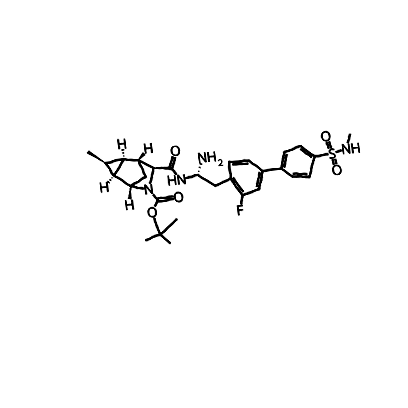 CNS(=O)(=O)c1ccc(-c2ccc(C[C@@H](N)NC(=O)[C@@H]3[C@@H]4C[C@@H]([C@H]5[C@@H](C)[C@@H]45)N3C(=O)OC(C)(C)C)c(F)c2)cc1